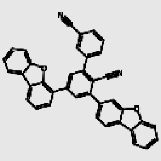 N#Cc1cccc(-c2cc(-c3cccc4c3oc3ccccc34)cc(-c3ccc4c(c3)oc3ccccc34)c2C#N)c1